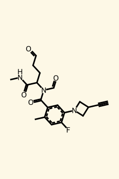 C#CC1CN(c2cc(C(=O)N(C=O)C(CCC=O)C(=O)NC)c(C)cc2F)C1